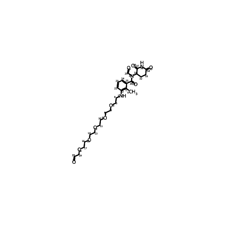 Cc1c(NCCOCCOCCOCCOCCOCC=O)cccc1C(=O)N(C=O)C1CCC(=O)NC1=O